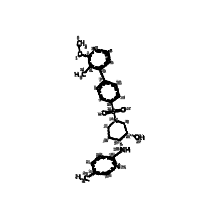 COc1nccc(-c2ccc(S(=O)(=O)N3CC[C@@H](Nc4ccc(C)cn4)[C@@H](O)C3)cc2)c1C